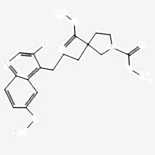 COC(=O)N1CCC(CCCc2c(F)cnc3ccc(OC)cc23)(C(=O)OC)C1